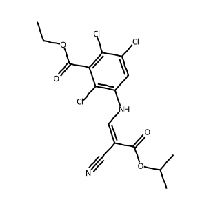 CCOC(=O)c1c(Cl)c(Cl)cc(NC=C(C#N)C(=O)OC(C)C)c1Cl